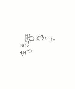 CC(C)(F)COc1ccc(-c2cnc3[nH]cc(/C=C(\C#N)C(N)=O)c3c2)cn1